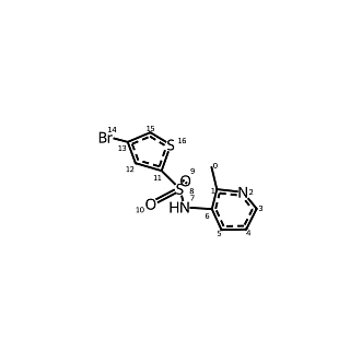 Cc1ncccc1NS(=O)(=O)c1cc(Br)cs1